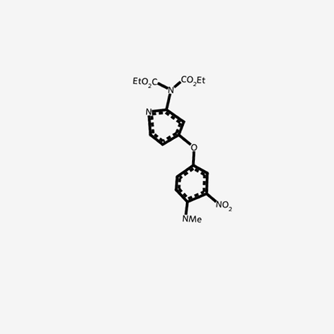 CCOC(=O)N(C(=O)OCC)c1cc(Oc2ccc(NC)c([N+](=O)[O-])c2)ccn1